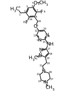 CCc1cc(OC)c(F)c(COc2cnc(Nc3cc(CCN4CCN(C)CC4)n(C)n3)nc2)c1F